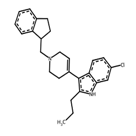 CCCc1[nH]c2cc(Cl)ccc2c1C1=CCN(CC2CCc3ccccc32)CC1